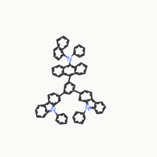 c1ccc(N(c2cccc3ccccc23)c2c3ccccc3c(-c3cc(-c4ccc5c6ccccc6n(-c6ccccc6)c5c4)cc(-c4ccc5c6ccccc6n(-c6ccccc6)c5c4)c3)c3ccccc23)cc1